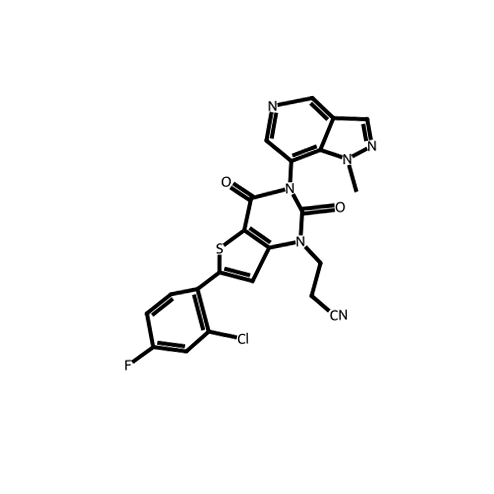 Cn1ncc2cncc(-n3c(=O)c4sc(-c5ccc(F)cc5Cl)cc4n(CCC#N)c3=O)c21